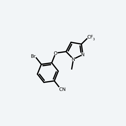 Cn1nc(C(F)(F)F)cc1Oc1cc(C#N)ccc1Br